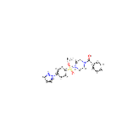 C[C@@H]1CN(C(=O)c2ccccc2)CCN1S(=O)(=O)c1ccc(-n2cccn2)cc1